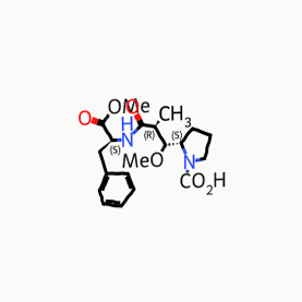 COC(=O)[C@H](Cc1ccccc1)NC(=O)[C@H](C)C(OC)[C@@H]1CCCN1C(=O)O